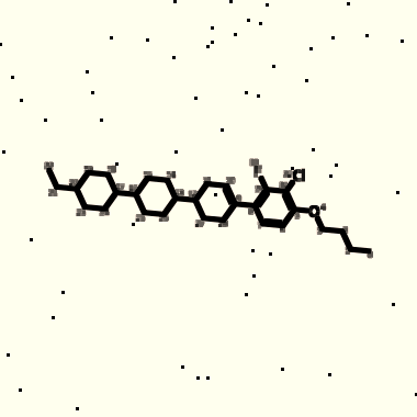 CCCCOc1ccc(C2=CCC(C3CCC(C4CCC(CC)CC4)CC3)CC2)c(F)c1Cl